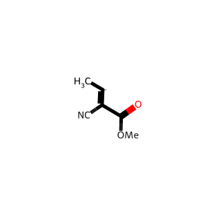 C/[C]=C(\C#N)C(=O)OC